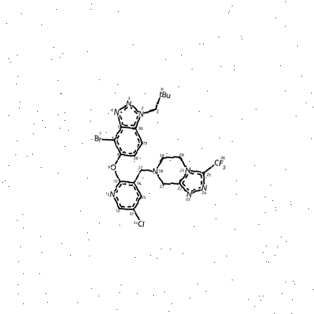 CC(C)(C)Cn1nnc2c(Br)c(Oc3ncc(Cl)cc3CN3CCn4c(nnc4C(F)(F)F)C3)ccc21